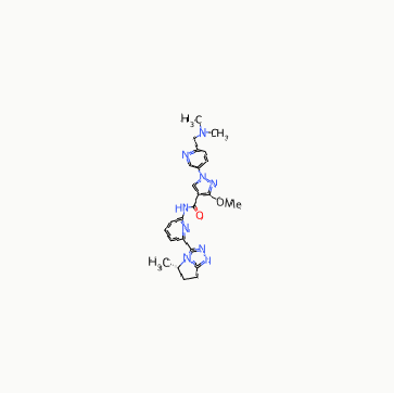 COc1nn(-c2ccc(CN(C)C)nc2)cc1C(=O)Nc1cccc(-c2nnc3n2[C@@H](C)CC3)n1